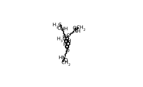 C=CC(=O)NCCCCOc1ccc2c(c1)CC[C@@H]1[C@@H]2CC[C@]2(C)C(OCCCCNC(=O)C=C)C(OCCCCNC(=O)C=C)C[C@@H]12